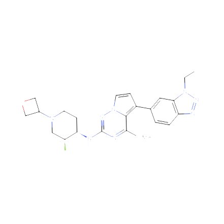 COc1nc(N[C@@H]2CCN(C3COC3)C[C@@H]2F)nn2ccc(-c3ccc4nnn(CC(F)(F)F)c4c3)c12